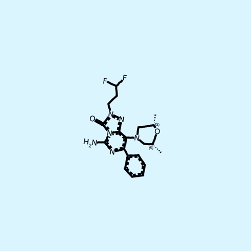 C[C@@H]1CN(c2c(-c3ccccc3)nc(N)n3c(=O)n(CCC(F)F)nc23)C[C@H](C)O1